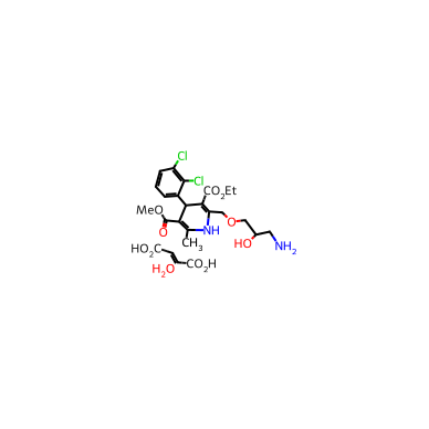 CCOC(=O)C1=C(COCC(O)CN)NC(C)=C(C(=O)OC)C1c1cccc(Cl)c1Cl.O.O=C(O)C=CC(=O)O